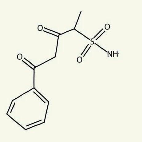 CC(C(=O)CC(=O)c1ccccc1)S([NH])(=O)=O